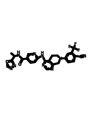 CC(NC(=O)c1ccc(Nc2ncnc3c2CCN(c2ccc(C#N)c(C(F)(F)F)c2)C3)nc1)c1nnco1